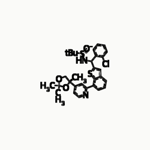 CC1(C)OC[C@](C)(c2ccnc(-c3cccc4cc(C(N[S+]([O-])C(C)(C)C)c5ccccc5Cl)sc34)c2)O1